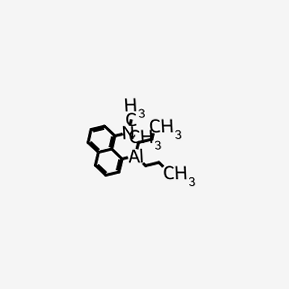 CC[CH2][Al]([CH2]CC)[c]1cccc2cccc(N(C)C)c12